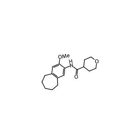 COc1cc2c(cc1NC(=O)C1CCOCC1)CCCCC2